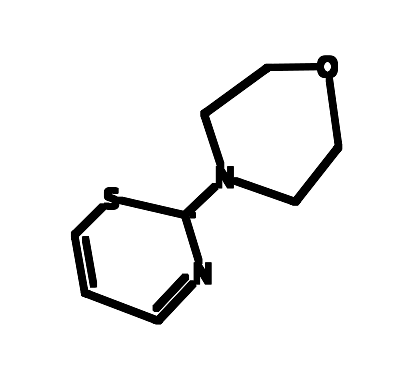 C1=CS[C](N2CCOCC2)N=C1